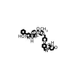 C[C@@H]1CN(CC2CCN(c3ccc4cnn(C5CCC(=O)NC5=O)c4c3)CC2)C[C@H](C)N1C(=O)N1CCN2c3cc(-c4ccccc4O)nnc3NC[C@H]2C1